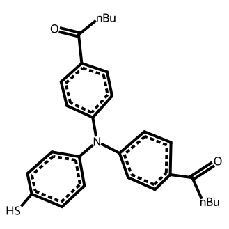 CCCCC(=O)c1ccc(N(c2ccc(S)cc2)c2ccc(C(=O)CCCC)cc2)cc1